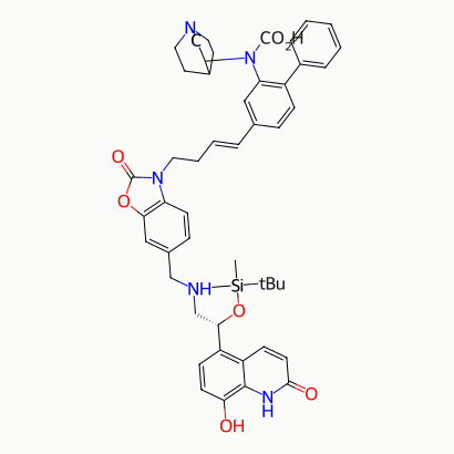 CC(C)(C)[Si](C)(C)O[C@@H](CNCc1ccc2c(c1)oc(=O)n2CCC=Cc1ccc(-c2ccccc2)c(N(C(=O)O)C2CN3CCC2CC3)c1)c1ccc(O)c2[nH]c(=O)ccc12